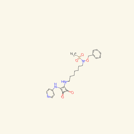 CS(=O)(=O)N(CCCCCCCNc1c(Nc2ccncc2)c(=O)c1=O)OCc1ccccc1